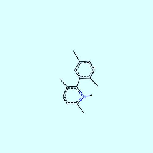 Cc1ccc(C)c(-c2c(C)ccc(C)[n+]2C)c1